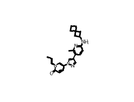 CCCn1cc(-n2cc(-c3ccc(NC4CC5(CCC5)C4)nc3C)cn2)ccc1=O